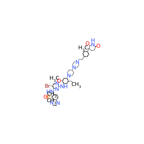 CCc1cc(Nc2ncc(Br)c(Nc3ccc4nccnc4c3P(C)(C)=O)n2)c(OC)cc1N1CCC(N2CCN(CCc3ccc(C4(C)CCC(=O)NC4=O)cc3)CC2)CC1